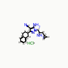 Cl.N#Cc1c(C2CCc3ccccc3C2)nn(C[C@H](N)CC2CC2)c1N